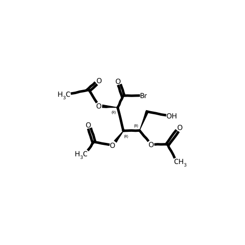 CC(=O)O[C@H]([C@@H](CO)OC(C)=O)[C@@H](OC(C)=O)C(=O)Br